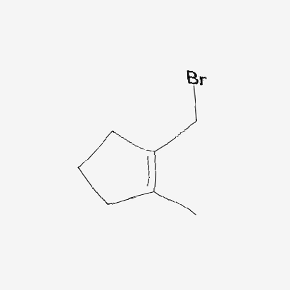 CC1=C(CBr)CCC1